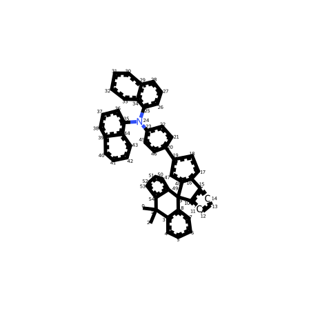 CC1(C)c2ccccc2C2(c3ccccc3-c3ccc(-c4ccc(N(c5cccc6ccccc56)c5cccc6ccccc56)cc4)cc32)c2ccccc21